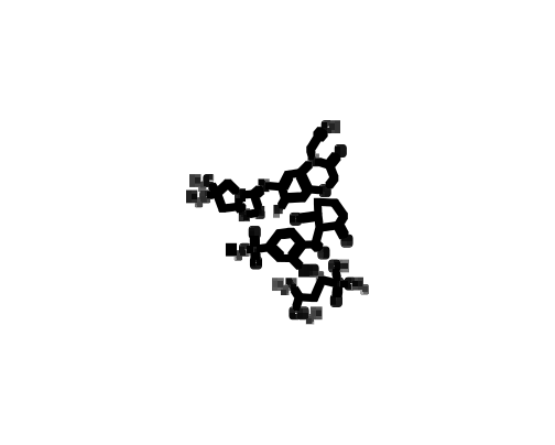 C#CCN1C(=O)COc2cc(F)c(/N=c3\snc4n3CC(C)(C)C4)cc21.CP(=O)(O)CCC(N)C(=O)O.CS(=O)(=O)c1ccc(C(=O)C2C(=O)CCCC2=O)c([N+](=O)[O-])c1